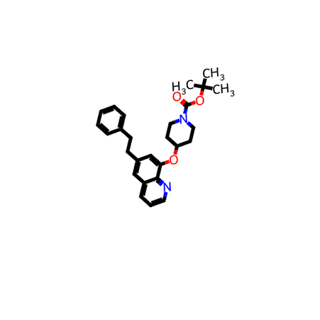 CC(C)(C)OC(=O)N1CCC(Oc2cc(CCc3ccccc3)cc3cccnc23)CC1